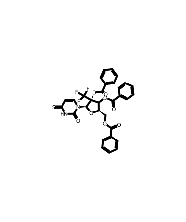 O=C(OC[C@H]1O[C@@H](n2ccc(=S)[nH]c2=O)[C@@](OC(=O)c2ccccc2)(C(F)(F)F)C1OC(=O)c1ccccc1)c1ccccc1